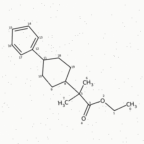 CCOC(=O)C(C)(C)C1CCC(c2ccccc2)CC1